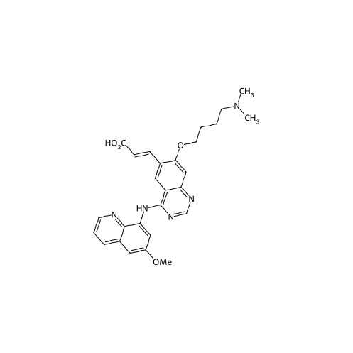 COc1cc(Nc2ncnc3cc(OCCCCN(C)C)c(C=CC(=O)O)cc23)c2ncccc2c1